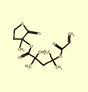 C=CC(=O)OC(C)(C)CC(C)(C)C(=O)OC1(C)CCOC1=O